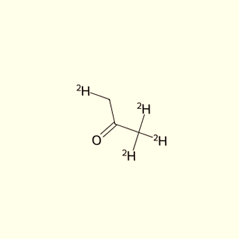 [2H]CC(=O)C([2H])([2H])[2H]